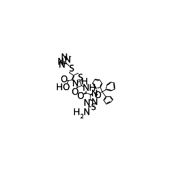 Cn1nnnc1SCC1=C(C(=O)O)N2C(=O)C(NC(=O)C(=NOC(c3ccccc3)(c3ccccc3)c3ccccc3)c3nsc(N)n3)[C@@H]2SC1